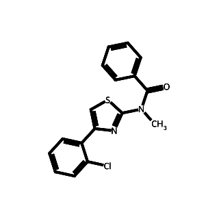 CN(C(=O)c1ccccc1)c1nc(-c2ccccc2Cl)cs1